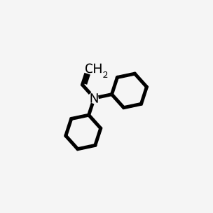 C=CN(C1CCCCC1)C1CCCCC1